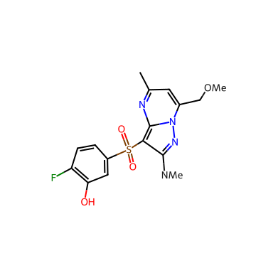 CNc1nn2c(COC)cc(C)nc2c1S(=O)(=O)c1ccc(F)c(O)c1